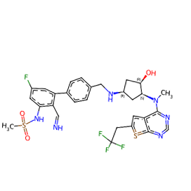 CN(c1ncnc2sc(CC(F)(F)F)cc12)[C@H]1C[C@@H](NCc2ccc(-c3cc(F)cc(NS(C)(=O)=O)c3C=N)cc2)C[C@H]1O